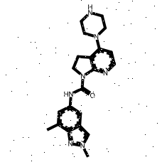 Cc1cc(NC(=O)N2CCc3c(N4CCNCC4)ccnc32)cc2cn(C)nc12